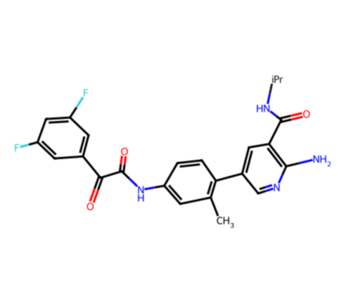 Cc1cc(NC(=O)C(=O)c2cc(F)cc(F)c2)ccc1-c1cnc(N)c(C(=O)NC(C)C)c1